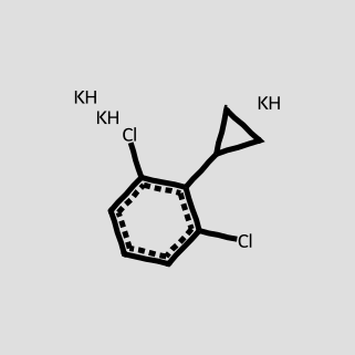 Clc1cccc(Cl)c1C1[CH]C1.[KH].[KH].[KH]